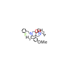 COc1ccc(C)c(C23CCN(CCc4ccccc4F)CCC2(O)C(C)N(CC2CC2)CC3)c1